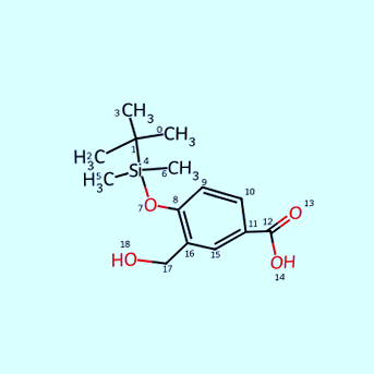 CC(C)(C)[Si](C)(C)Oc1ccc(C(=O)O)cc1CO